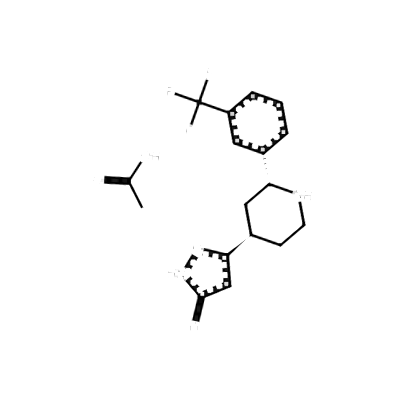 CC(=O)O.O=c1cc([C@@H]2CCN[C@@H](c3cccc(C(F)(F)F)c3)C2)o[nH]1